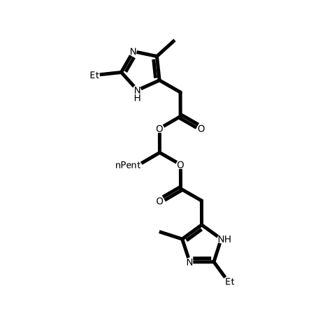 CCCCCC(OC(=O)Cc1[nH]c(CC)nc1C)OC(=O)Cc1[nH]c(CC)nc1C